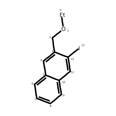 CCOCc1cc2ccccc2cc1I